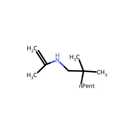 C=C(C)NCC(C)(C)CCCCC